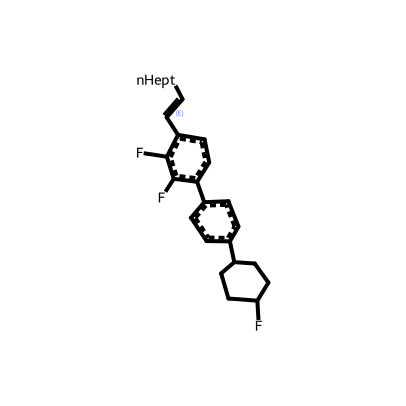 CCCCCCC/C=C/c1ccc(-c2ccc(C3CCC(F)CC3)cc2)c(F)c1F